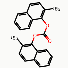 CC(C)(C)c1ccc2ccccc2c1OC(=O)Oc1c(C(C)(C)C)ccc2ccccc12